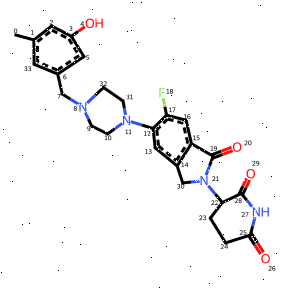 Cc1cc(O)cc(CN2CCN(c3cc4c(cc3F)C(=O)N(C3CCC(=O)NC3=O)C4)CC2)c1